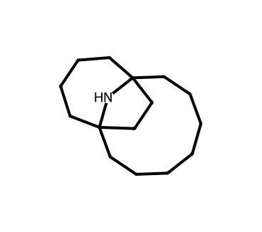 C1CCCC23CCCCC(CCC1)(CC2)N3